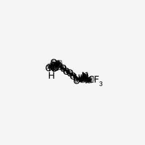 Cn1cc2c3cc(C(=O)NCCOCCOCCOCCOCCNc4cccc5c4C(=O)N(C4CCC(=O)NC4=O)C5=O)ccc3n(CC3CCC(C(F)(F)F)CC3)c2n1